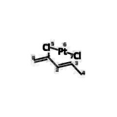 C=CC=CC.[Cl][Pt][Cl]